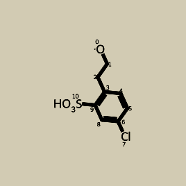 [O]CCc1ccc(Cl)cc1S(=O)(=O)O